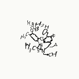 BC(B)Oc1cc(Cl)c(-c2nc(N(CC#C)[C@@H](CC3CC3)c3ccc(CO)c(F)c3)sc2C)cc1C